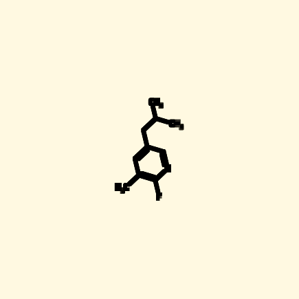 Cc1cc(CC(C)C)cnc1F